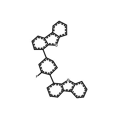 Fc1cc(-c2cccc3c2oc2ccccc23)ccc1-c1cccc2c1oc1ccccc12